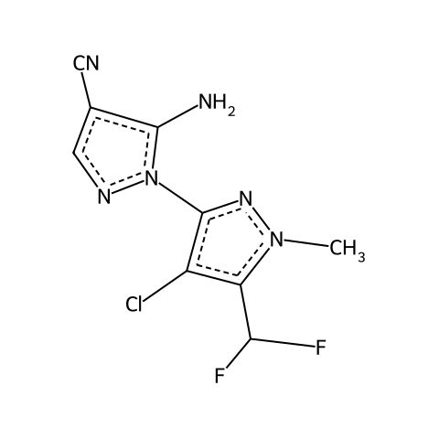 Cn1nc(-n2ncc(C#N)c2N)c(Cl)c1C(F)F